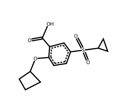 O=C(O)c1cc(S(=O)(=O)C2CC2)ccc1OC1CCC1